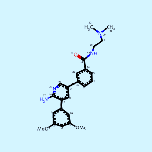 COc1cc(OC)cc(-c2cc(-c3cccc(C(=O)NCCN(C)C)c3)cnc2N)c1